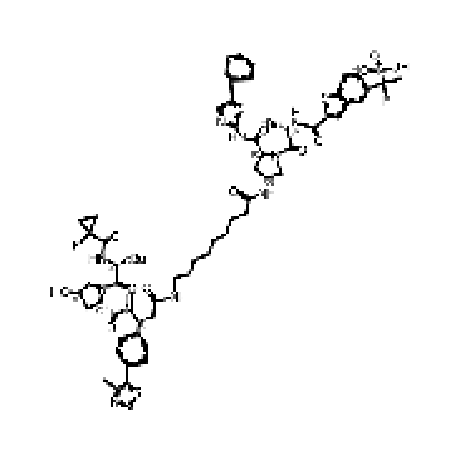 Cc1ncsc1-c1ccc([C@H](CC(=O)NCCCCCCCCC(=O)N[C@@H]2C[C@@H](C(=O)Nc3ncc(-c4ccccc4)s3)N(C(=O)[C@@H](NC(=O)c3cc4cc(C(F)(F)P(=O)(O)O)ccc4s3)C(C)(C)C)C2)NC(=O)[C@@H]2C[C@@H](O)CN2C(=O)[C@@H](NC(=O)C2(F)CC2)C(C)(C)C)cc1